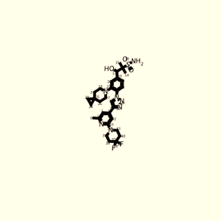 Cc1cc(-c2cn(-c3ccc(C(O)C(C)(C)S(N)(=O)=O)cc3N3CCC4(CC3)CC4)nn2)cc(N2CCC(F)(F)CC2)n1